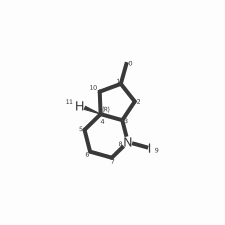 CC1CC2[C@H](CCCN2I)C1